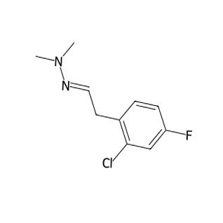 CN(C)N=CCc1ccc(F)cc1Cl